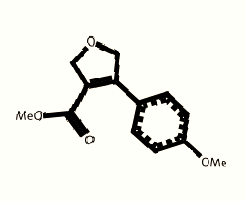 COC(=O)C1=C(c2ccc(OC)cc2)COC1